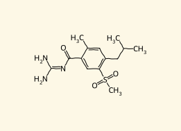 Cc1cc(CC(C)C)c(S(C)(=O)=O)cc1C(=O)N=C(N)N